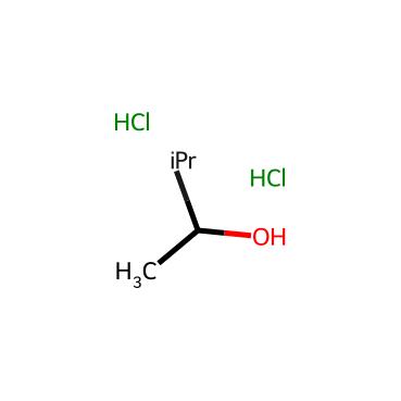 CC(C)C(C)O.Cl.Cl